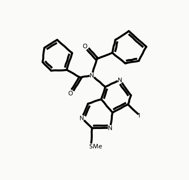 CSc1ncc2c(N(C(=O)c3ccccc3)C(=O)c3ccccc3)ncc(I)c2n1